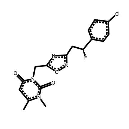 Cc1cc(=O)n(Cc2nc(C[C@H](F)c3ccc(Cl)cc3)no2)c(=O)n1C